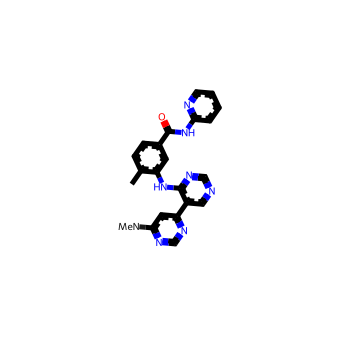 CNc1cc(-c2cncnc2Nc2cc(C(=O)Nc3ccccn3)ccc2C)ncn1